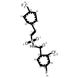 O=C(NS(=O)(=O)/C=C/c1ccc(C(F)(F)F)cc1)c1ccc(F)cc1C(F)(F)F